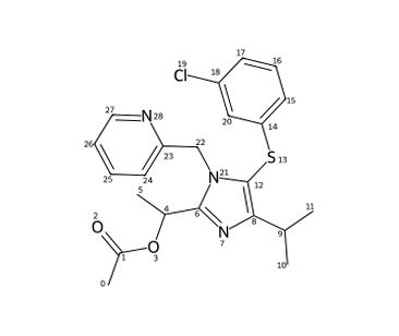 CC(=O)OC(C)c1nc(C(C)C)c(Sc2cccc(Cl)c2)n1Cc1ccccn1